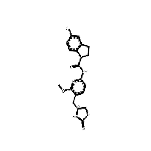 COc1nc(NC(=O)C2CCc3cc(Cl)ccc32)ccc1C[C@H]1COC(=O)N1